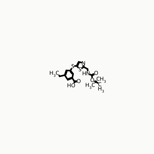 CCc1cc(Sc2cnc(CNC(=O)OC(C)(C)C)s2)cc(C(=O)O)c1